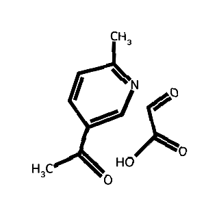 CC(=O)c1ccc(C)nc1.O=CC(=O)O